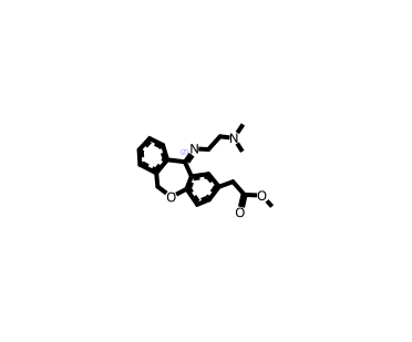 COC(=O)Cc1ccc2c(c1)/C(=N\CCN(C)C)c1ccccc1CO2